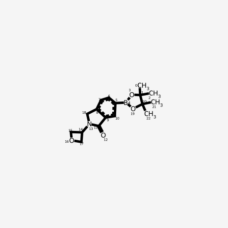 CC1(C)OB(c2ccc3c(c2)C(=O)N(C2COC2)C3)OC1(C)C